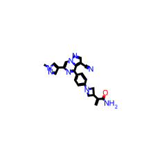 C=C(C(N)=O)C1CN(c2ccc(-c3nc(-c4cnn(C)c4)cn4ncc(C#N)c34)cc2)C1